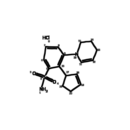 Cl.NS(=O)(=O)c1cccc(N2C=CCCC2)c1C1C=CCC1